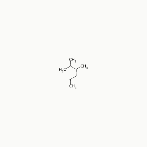 C[CH]CC(C)C(C)C